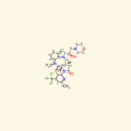 Cc1cc(C(F)(F)F)cc(N2C(=O)C[C@@H]3CN(C[C@H](O)CN4CCOCC4)c4c(Cl)cccc4N(C)C(=O)[C@H]32)n1